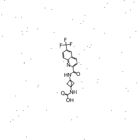 O=C(O)NC12CC(NC(=O)c3ccc4cc(C(F)(F)F)ccc4n3)(C1)C2